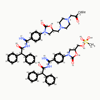 COC(=O)CN1CCN(CC2CN(c3ccc(C(=N)NC(=O)C(c4ccccc4)c4ccccc4)cc3)C(=O)O2)CC1.CS(=O)(=O)OCC1CN(c2ccc(C(=N)NC(=O)C(c3ccccc3)c3ccccc3)cc2)C(=O)O1